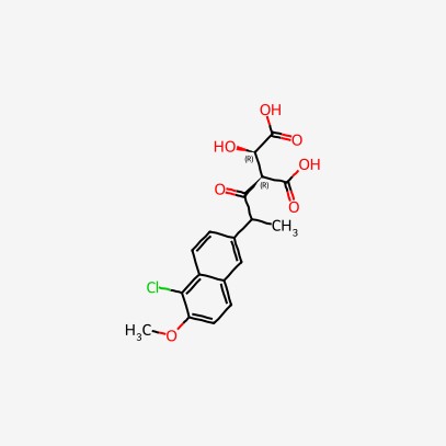 COc1ccc2cc(C(C)C(=O)[C@H](C(=O)O)[C@@H](O)C(=O)O)ccc2c1Cl